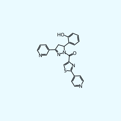 O=C(c1csc(-c2ccncc2)n1)N1N=C(c2cccnc2)CC1c1ccccc1O